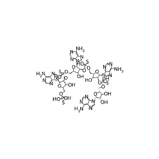 Nc1ncnc2c1ncn2[C@@H]1O[C@H](COP(O)(=S)O[C@H]2C(O)[C@@H](COP(O)(=S)O[C@H]3C(O)[C@@H](COP(O)(=S)O[C@H]4C(O)[C@@H](COP(O)(O)=S)O[C@H]4n4cnc5c(N)ncnc54)O[C@H]3n3cnc4c(N)ncnc43)O[C@H]2n2cnc3c(N)ncnc32)C(O)[C@@H]1O